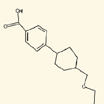 CCOCC1CCC(c2ccc(C(=O)O)cc2)CC1